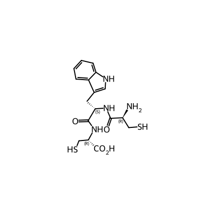 N[C@@H](CS)C(=O)N[C@@H](Cc1c[nH]c2ccccc12)C(=O)N[C@@H](CS)C(=O)O